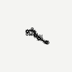 COc1cccc(CNC(=O)c2ccc(-c3ccnc(Nc4cccc(OCCCN5CCOCC5)c4)n3)s2)c1